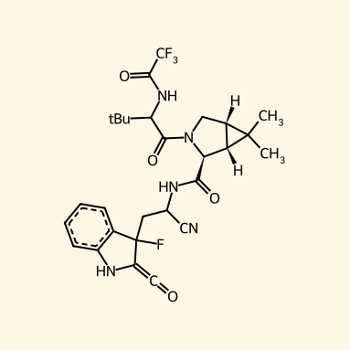 CC(C)(C)C(NC(=O)C(F)(F)F)C(=O)N1C[C@H]2[C@@H]([C@H]1C(=O)NC(C#N)CC1(F)C(=C=O)Nc3ccccc31)C2(C)C